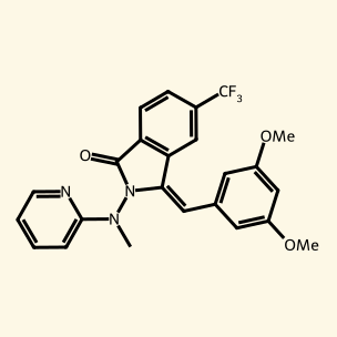 COc1cc(C=C2c3cc(C(F)(F)F)ccc3C(=O)N2N(C)c2ccccn2)cc(OC)c1